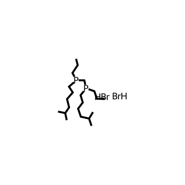 Br.Br.CCCP(CCCCC(C)C)CP(CCC)CCCCC(C)C